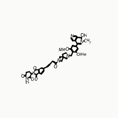 COc1cc(C2=CN(C)C(O)c3cnccc32)cc(OC)c1CN1CCC2(C1)CN(C(=O)CC#Cc1ccc3c(c1)C(=O)N(C1CCC(=O)NC1=O)C3=O)C2